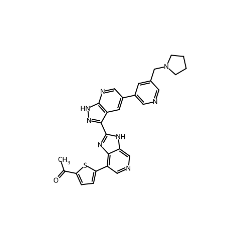 CC(=O)c1ccc(-c2cncc3[nH]c(-c4n[nH]c5ncc(-c6cncc(CN7CCCC7)c6)cc45)nc23)s1